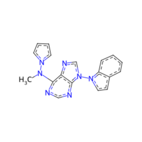 CN(c1ncnc2c1ncn2-n1ccc2ccccc21)n1cccc1